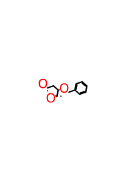 O=[C]CC([C]=O)OCc1ccccc1